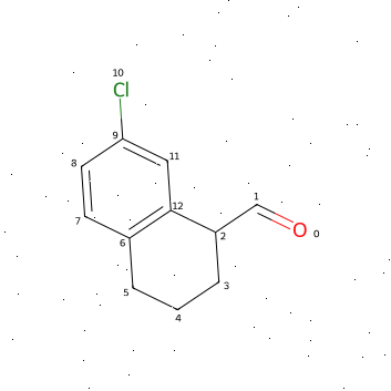 O=CC1CCCc2ccc(Cl)cc21